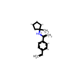 C=Cc1ccc(C(=C)NC2(C)CCCC2)cc1